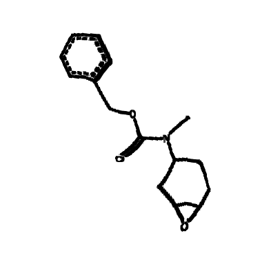 CN(C(=O)OCc1ccccc1)C1CCC2OC2C1